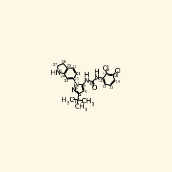 CC(C)(C)c1cc(NC(=O)Nc2cccc(Cl)c2Cl)n(-c2ccc3c(c2)NCC3)n1